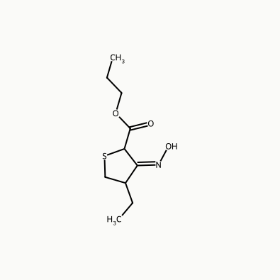 CCCOC(=O)C1SCC(CC)C1=NO